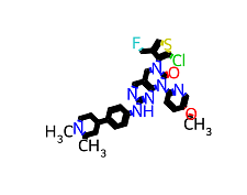 COc1ccc(N2C(=O)N(c3c(CF)csc3Cl)Cc3cnc(Nc4ccc(C5CCN(C)C(C)C5)cc4)nc32)nc1